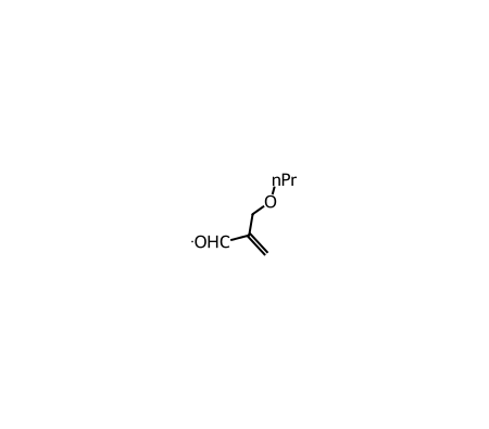 C=C([C]=O)COCCC